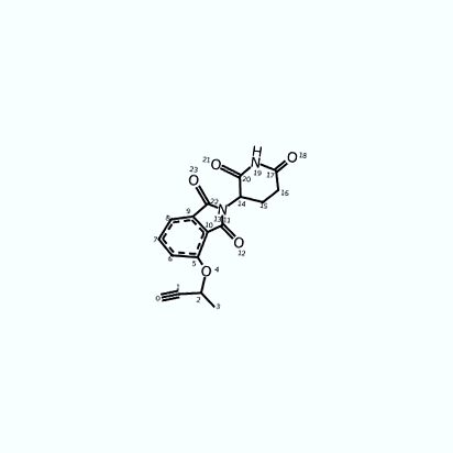 C#CC(C)Oc1cccc2c1C(=O)N(C1CCC(=O)NC1=O)C2=O